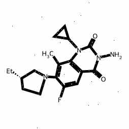 CC[C@H]1CCN(c2c(F)cc3c(=O)n(N)c(=O)n(C4CC4)c3c2C)C1